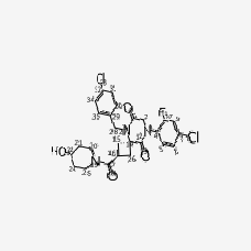 O=C1CN(c2ccc(Cl)cc2F)C(=O)[C@]2(C[C@H](C(=O)N3CCC(O)CC3)C2)N1Cc1ccc(Cl)cc1